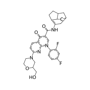 O=C(NC1=C2CCC3CC(C1)CC23)c1cn(-c2ccc(F)cc2F)c2nc(N3CCOC(CO)C3)ccc2c1=O